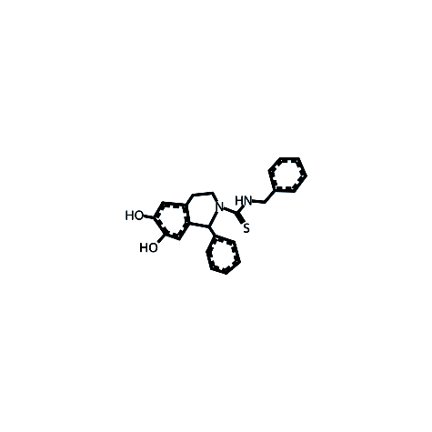 Oc1cc2c(cc1O)C(c1ccccc1)N(C(=S)NCc1ccccc1)CC2